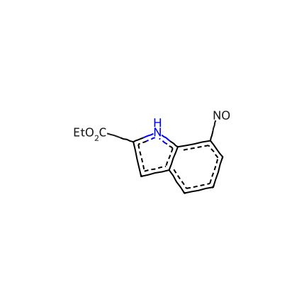 CCOC(=O)c1cc2cccc(N=O)c2[nH]1